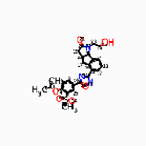 CC(C)Oc1ccc(-c2nc(-c3cccc4c3CC3CC(=O)N(CCO)C43)no2)cc1S(C)(=O)=O